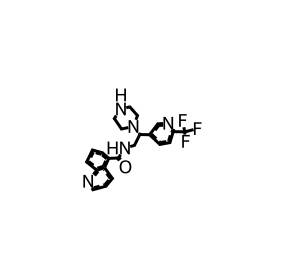 O=C(NCC(c1ccc(C(F)(F)F)nc1)N1CCNCC1)c1cccc2ncccc12